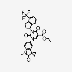 CCOC(=O)c1cn(-c2ccc3c(c2)C2(CC2)C(=O)N3C)c(=O)n([C@@H]2CCc3c2cccc3C(F)(F)F)c1=O